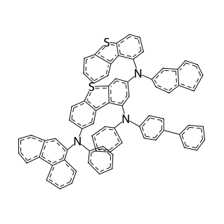 c1ccc(-c2ccc(N(c3ccccc3)c3cc(N(c4ccc5ccccc5c4)c4cccc5sc6ccccc6c45)cc4sc5ccc(N(c6ccccc6)c6cc7ccccc7c7ccccc67)cc5c34)cc2)cc1